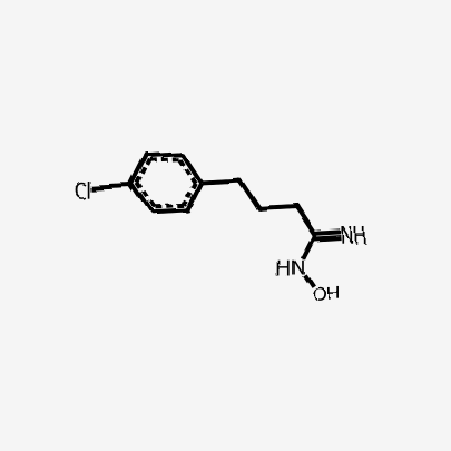 N=C(CCCc1ccc(Cl)cc1)NO